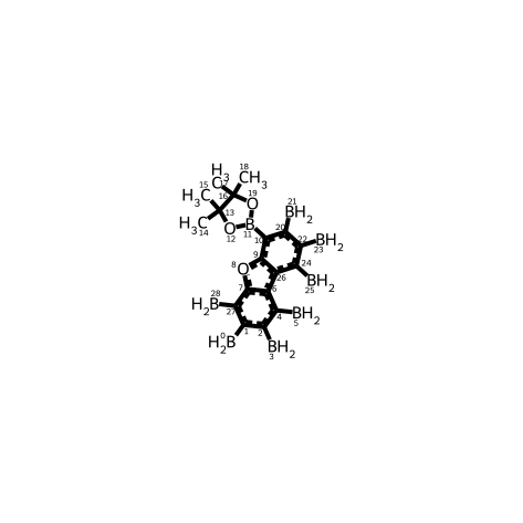 Bc1c(B)c(B)c2c(oc3c(B4OC(C)(C)C(C)(C)O4)c(B)c(B)c(B)c32)c1B